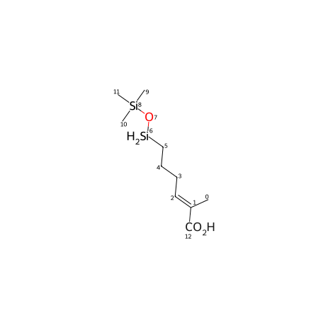 CC(=CCCC[SiH2]O[Si](C)(C)C)C(=O)O